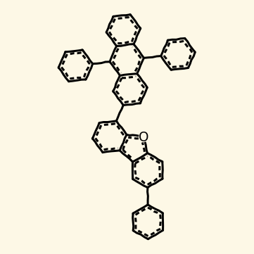 c1ccc(-c2ccc3oc4c(-c5ccc6c(-c7ccccc7)c7ccccc7c(-c7ccccc7)c6c5)cccc4c3c2)cc1